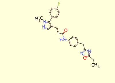 CCc1nc(Cc2ccc(NC(=O)C=Cc3cnn(C)c3-c3ccc(F)cc3)cc2)no1